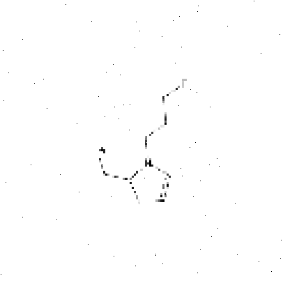 CC(C)CC1CC=CN1CCCF